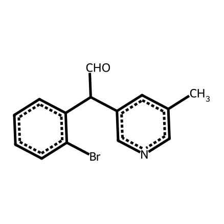 Cc1cncc(C(C=O)c2ccccc2Br)c1